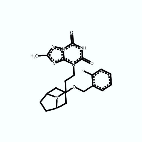 Cc1nc2n(CCCN3C4CCC3CC(OCc3ccccc3F)C4)c(=O)[nH]c(=O)n2n1